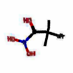 CCCC(C)(C)B(O)N(O)O